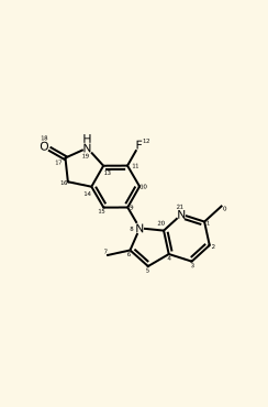 Cc1ccc2cc(C)n(-c3cc(F)c4c(c3)CC(=O)N4)c2n1